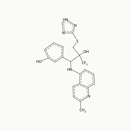 Cc1ccc2c(NC(c3cccc(O)c3)C(O)(CSc3nc[nH]n3)C(F)(F)F)cccc2n1